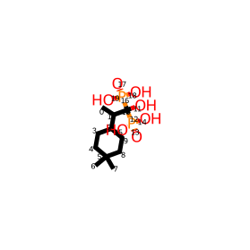 CC(C1CCC(C)(C)CC1)C(O)(P(=O)(O)O)P(=O)(O)O